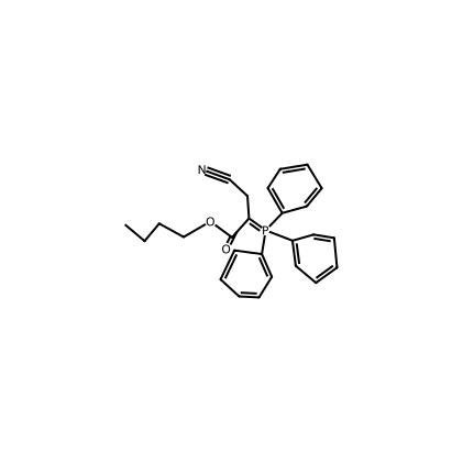 CCCCOC(=O)C(CC#N)=P(c1ccccc1)(c1ccccc1)c1ccccc1